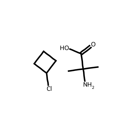 CC(C)(N)C(=O)O.ClC1CCC1